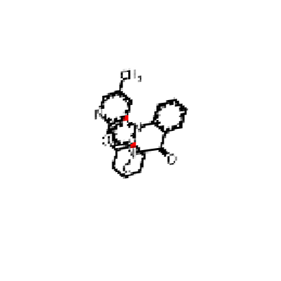 Cc1ccc(OC2CC3CCC2N(C(=O)c2ccccc2-n2nccn2)C3)nc1